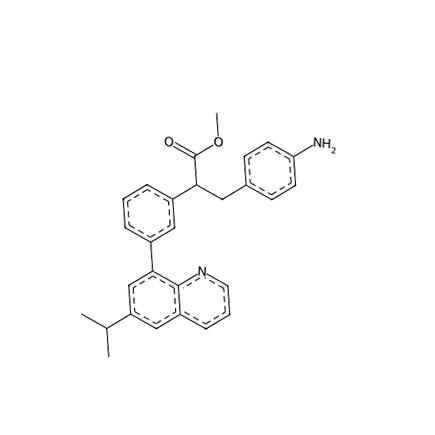 COC(=O)C(Cc1ccc(N)cc1)c1cccc(-c2cc(C(C)C)cc3cccnc23)c1